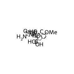 COc1ccc(CC(SCC(=O)N2CC(N)C(=O)N2)B(O)O)c(O)c1C(=O)O